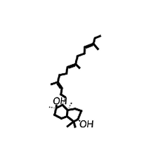 CC/C(C)=C/CC/C(C)=C/CC/C(C)=C/CC[C@@H]1[C@@]2(C)CC[C@H](O)C(C)(C)C2CC[C@@]1(C)O